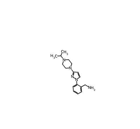 CC(C)N1CCN(c2ccn(-c3ccccc3CN)n2)CC1